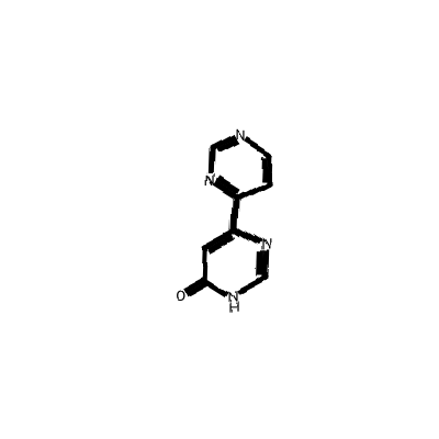 O=c1cc(-c2ccncn2)nc[nH]1